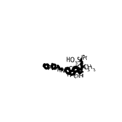 CC(C)[C@@H](CC[C@@H](C)[C@H]1CCC2C3C(CC[C@@]21C)[C@@]1(C)CC[C@H](NCCCN2CCC(N4CCCCC4)CC2)C[C@H]1C[C@H]3O)S(=O)(=O)O